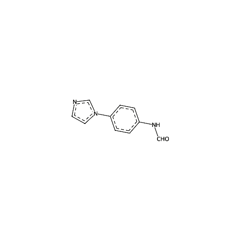 O=CNc1ccc(-n2ccnc2)cc1